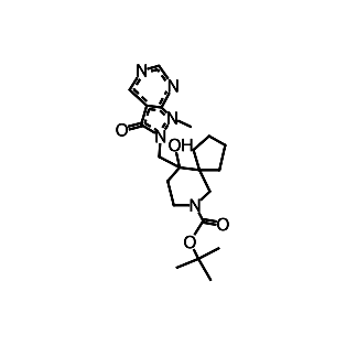 Cn1c2ncncc2c(=O)n1CC1(O)CCN(C(=O)OC(C)(C)C)CC12CCCC2